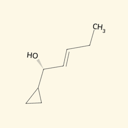 CC/C=C/[C@@H](O)C1CC1